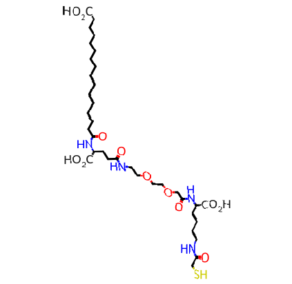 O=C(O)CCCCCCCCCCCCCCC(=O)NC(CCC(=O)NCCOCCOCC(=O)NC(CCCCNC(=O)CS)C(=O)O)C(=O)O